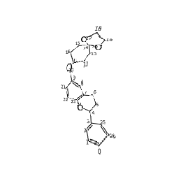 c1ccc(C2CCc3cc(OC4CCC5(CC4)OCCO5)ccc3O2)cc1